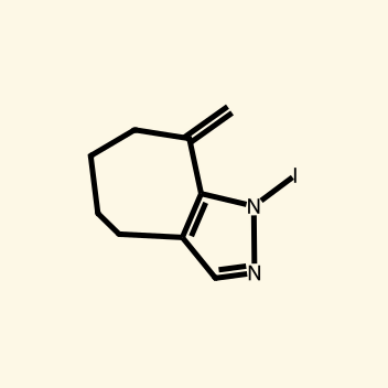 C=C1CCCCc2cnn(I)c21